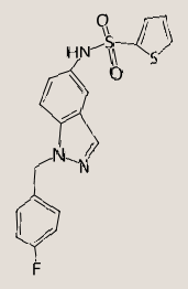 O=S(=O)(Nc1ccc2c(cnn2Cc2ccc(F)cc2)c1)c1cccs1